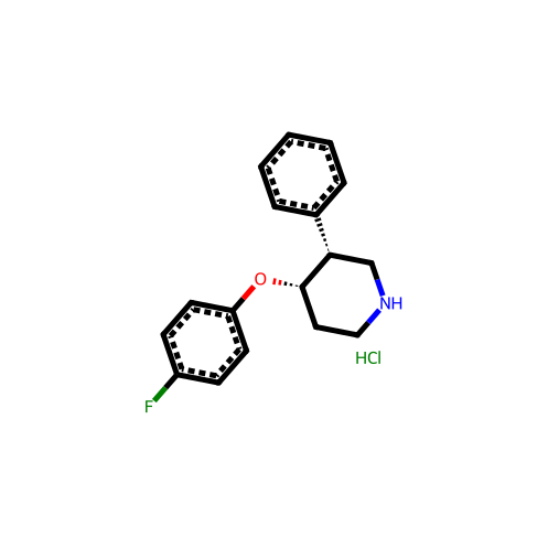 Cl.Fc1ccc(O[C@H]2CCNC[C@H]2c2ccccc2)cc1